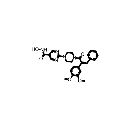 COc1ccc(C(=Cc2ccccc2)C(=O)N2CCN(c3ncc(C(=O)NO)cn3)CC2)cc1OC